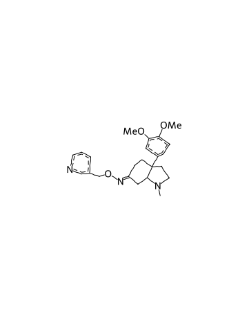 COc1ccc(C23CC/C(=N\OCc4cccnc4)CC2N(C)CC3)cc1OC